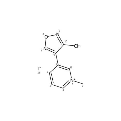 C[n+]1cccc(-c2nonc2Cl)c1.[I-]